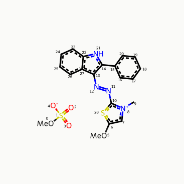 COS(=O)(=O)[O-].COc1c[n+](C)c(N=Nc2c(-c3ccccc3)[nH]c3ccccc23)s1